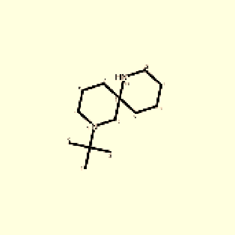 CC(C)(C)N1CCCC2(CCCCN2)C1